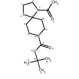 CC(=O)N1CCSC12CCN(C(=O)OC(C)(C)C)CC2